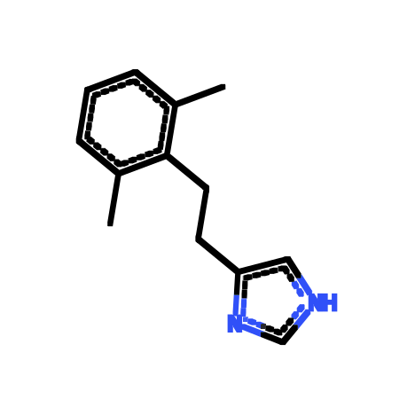 Cc1cccc(C)c1CCc1c[nH]cn1